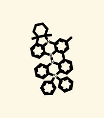 Cc1cc2c3c(c1)N1c4c(cccc4C4(C)CCCCC14C)B3N1c3ccccc3[Si](c3ccccc3)(c3ccccc3)c3cccc-2c31